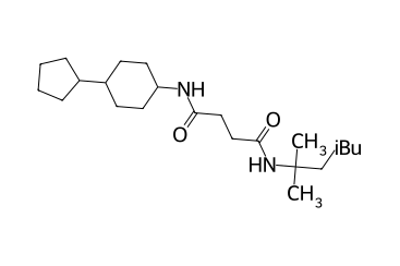 CCC(C)CC(C)(C)NC(=O)CCC(=O)NC1CCC(C2CCCC2)CC1